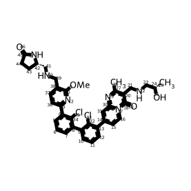 COc1nc(-c2cccc(-c3cccc(-c4ccn5c(=O)c(CNC[C@H](C)O)c(C)nc5c4)c3Cl)c2Cl)ccc1CNC[C@@H]1CCC(=O)N1